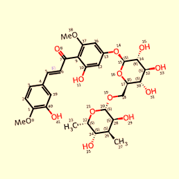 COc1ccc(/C=C/C(=O)c2c(O)cc(O[C@@H]3O[C@H](CO[C@H]4O[C@@H](C)[C@@H](O)[C@H](C)[C@@H]4O)[C@@H](O)[C@H](O)[C@H]3O)cc2OC)cc1O